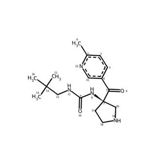 Cc1ccc(C(=O)[C@@]2(NC(=O)NCC(C)(C)C)CCNC2)cn1